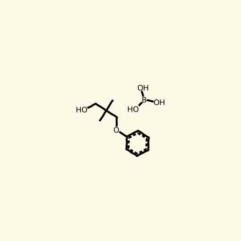 CC(C)(CO)COc1ccccc1.OB(O)O